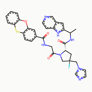 CC(NC(=O)[C@@H]1C[C@](F)(Cn2ccnc2)CN1C(=O)CNC(=O)c1ccc2c(c1)Oc1ccccc1S2)c1cc2cnccc2[nH]1